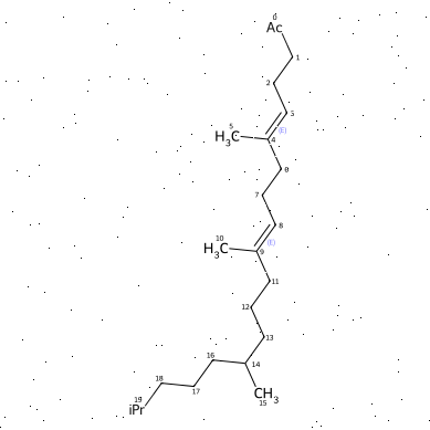 CC(=O)CC/C=C(\C)CC/C=C(\C)CCCC(C)CCCC(C)C